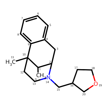 CC1C2Cc3ccccc3C1(C)CCN2CC1CCOC1